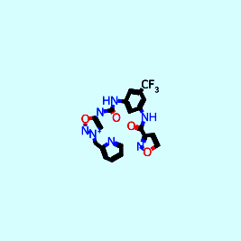 O=C([N-]c1c[n+](Cc2ccccn2)no1)Nc1cc(NC(=O)c2ccon2)cc(C(F)(F)F)c1